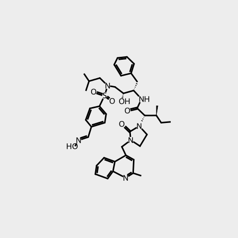 CC[C@H](C)[C@@H](C(=O)N[C@@H](Cc1ccccc1)[C@H](O)CN(CC(C)C)S(=O)(=O)c1ccc(C=NO)cc1)N1CCN(Cc2cc(C)nc3ccccc23)C1=O